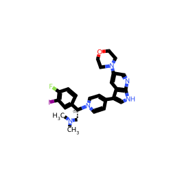 CN(C)C[C@H](c1ccc(F)c(I)c1)N1C=CC(c2c[nH]c3ncc(N4CCOCC4)cc23)=CC1